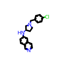 Clc1ccc(CN2CC[C@@H](Nc3ccc4cnccc4c3)C2)cc1